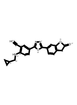 C#Cc1cc(-c2nnc(-c3ccc4c(c3)OC(=O)C4)o2)ccc1NCC1CC1